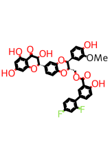 COc1cc([C@@H]2Oc3cc([C@@H]4Oc5cc(O)cc(O)c5C(=O)[C@H]4O)ccc3O[C@H]2COC(=O)c2cc(-c3ccc(F)cc3F)ccc2O)ccc1O